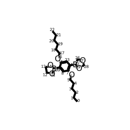 CCCCCCOc1cc(B2OCCO2)c(OCCCCCC)cc1B1COCO1